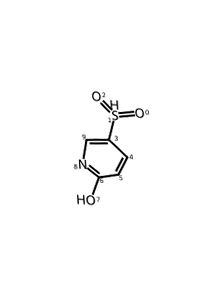 O=[SH](=O)c1ccc(O)nc1